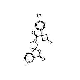 O=C1OC2(CCN(C(=O)[C@]3(c4ccc(Cl)cc4)C[C@H](F)C3)C2)c2ccncc21